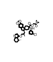 C[C@@H](COc1ccnc2c1[C@H](C)CCC2)C[C@H]1Cc2cc3c(cc2C12CCC(Nc1cccc(Cl)c1)(C(=O)OCC(=O)N(C)C)CC2)OCO3